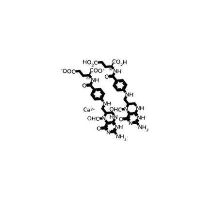 Nc1nc(=O)c2c([nH]1)NCC(CNc1ccc(C(=O)N[C@@H](CCC(=O)O)C(=O)O)cc1)N2C=O.Nc1nc(=O)c2c([nH]1)NCC(CNc1ccc(C(=O)N[C@@H](CCC(=O)[O-])C(=O)[O-])cc1)N2C=O.[Ca+2]